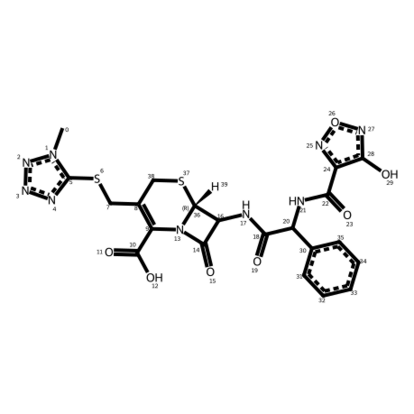 Cn1nnnc1SCC1=C(C(=O)O)N2C(=O)C(NC(=O)C(NC(=O)c3nonc3O)c3ccccc3)[C@H]2SC1